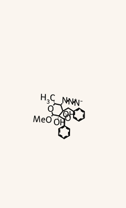 CO[C@H]1O[C@H](C)[C@@H](N=[N+]=[N-])[C@@](O)(Cc2ccccc2)[C@@]1(O)C(=O)c1ccccc1